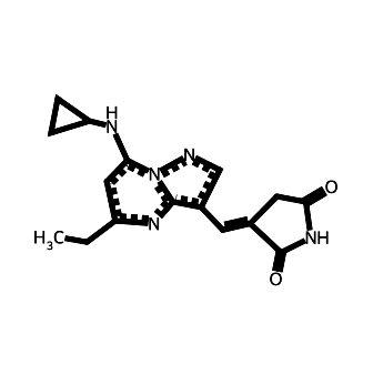 CCc1cc(NC2CC2)n2ncc(/C=C3\CC(=O)NC3=O)c2n1